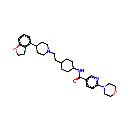 O=C(NC1CCC(CCN2CCC(c3cccc4c3CCO4)CC2)CC1)c1ccc(N2CCOCC2)nc1